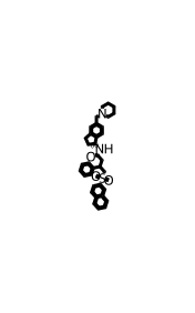 O=C(CC(CS(=O)(=O)c1ccc2ccccc2c1)c1ccccc1)N[C@@H]1CCc2cc(CN3CCCCC3)ccc21